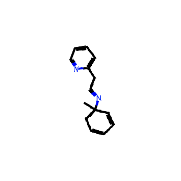 CC1(N=CCc2ccccn2)C=CC=CC1